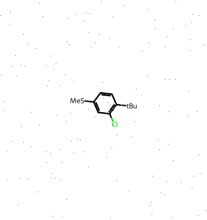 CSc1ccc(C(C)(C)C)c(Cl)c1